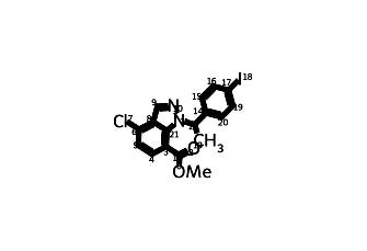 COC(=O)c1ccc(Cl)c2cnn(C(C)c3ccc(I)cc3)c12